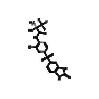 C[C@@](O)(C(=O)Nc1ccc(S(=O)(=O)c2ccc3[nH]c(=O)[nH]c3c2)cc1Cl)C(F)(F)F